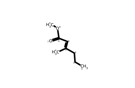 CCC/C(C)=C/C(=O)OC